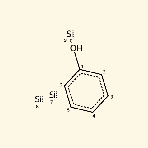 Oc1ccccc1.[Si].[Si].[Si]